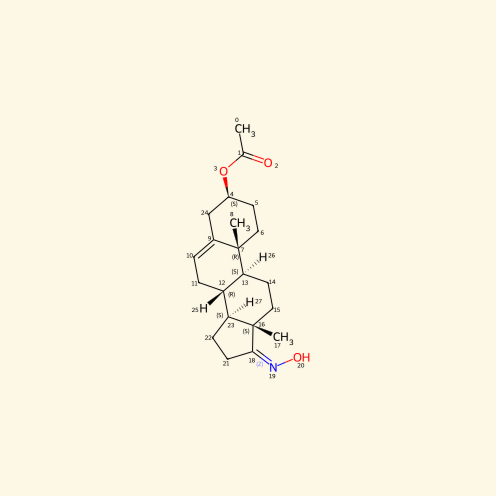 CC(=O)O[C@H]1CC[C@@]2(C)C(=CC[C@@H]3[C@@H]2CC[C@]2(C)/C(=N\O)CC[C@@H]32)C1